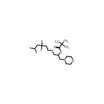 CC(C)(C(=O)OC(COCCC(F)(F)CC(F)F)CN1CCOCC1)C(F)(F)F